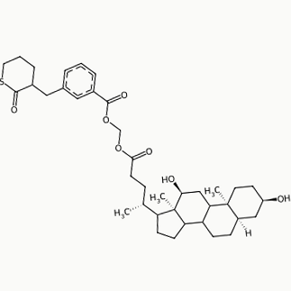 C[C@H](CCC(=O)OCOC(=O)c1cccc(CC2CCCSC2=O)c1)C1CCC2C3CC[C@@H]4C[C@H](O)CC[C@]4(C)C3C[C@H](O)[C@@]21C